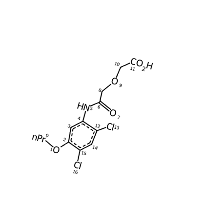 CCCOc1cc(NC(=O)COCC(=O)O)c(Cl)cc1Cl